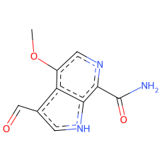 COc1cnc(C(N)=O)c2[nH]cc(C=O)c12